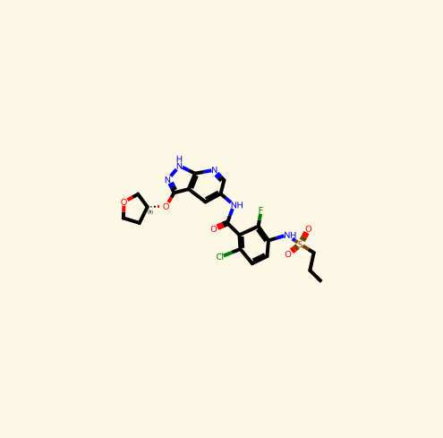 CCCS(=O)(=O)Nc1ccc(Cl)c(C(=O)Nc2cnc3[nH]nc(O[C@@H]4CCOC4)c3c2)c1F